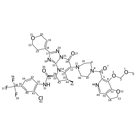 COCOc1c(C(=O)N2CCN(c3c4n(c5nc(C6=CCOCC6)nn5c3=O)[C@H](C(=O)Nc3ccc(C(F)(F)F)cc3Cl)C[C@@H]4C)CC2)ncc2c1OCC2